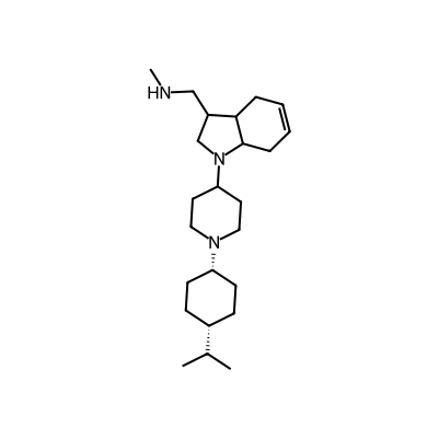 CNCC1CN(C2CCN([C@H]3CC[C@@H](C(C)C)CC3)CC2)C2CC=CCC12